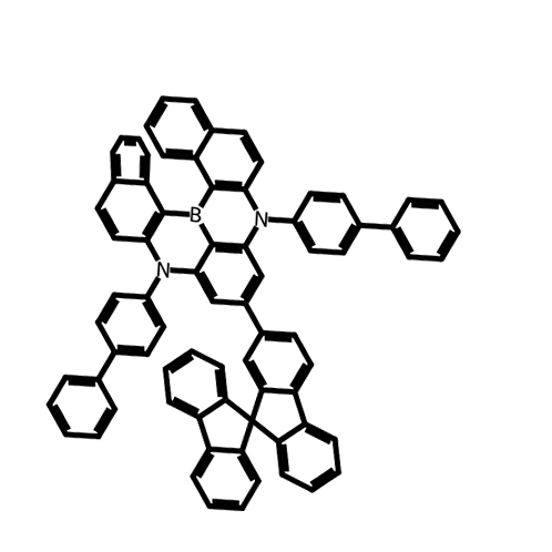 c1ccc(-c2ccc(N3c4cc(-c5ccc6c(c5)C5(c7ccccc7-c7ccccc75)c5ccccc5-6)cc5c4B(c4c3ccc3ccccc43)c3c(ccc4ccccc34)N5c3ccc(-c4ccccc4)cc3)cc2)cc1